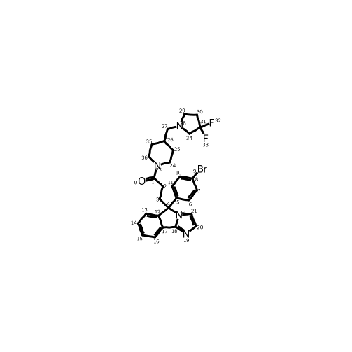 O=C(CCC1(c2ccc(Br)cc2)c2ccccc2-c2nccn21)N1CCC(CN2CCC(F)(F)C2)CC1